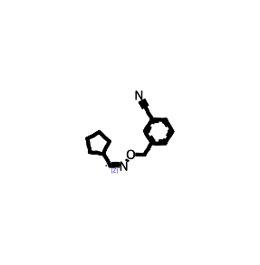 N#Cc1cccc(CO/N=[C]\C2CCCC2)c1